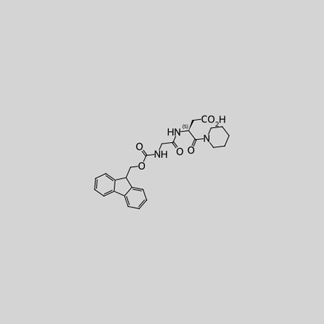 O=C(O)C[C@H](NC(=O)CNC(=O)OCC1c2ccccc2-c2ccccc21)C(=O)N1CCCCC1